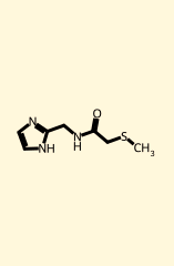 CSCC(=O)NCc1ncc[nH]1